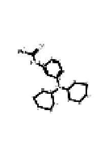 CC(C)C(=O)Nc1cccc(N(C2CCCCC2)C2CCCCC2)c1